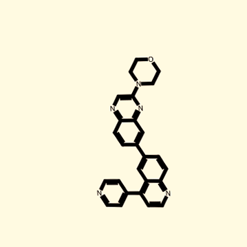 c1cc(-c2ccnc3ccc(-c4ccc5ncc(N6CCOCC6)nc5c4)cc23)ccn1